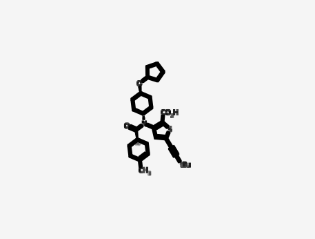 CC1=CC[C@H](C(=O)N(c2cc(C#CC(C)(C)C)sc2C(=O)O)[C@H]2CC[C@H](OC3CCCC3)CC2)CC1